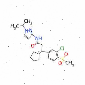 CC(C)n1ccc(NC(=O)CC(c2ccc(S(C)(=O)=O)c(Cl)c2)C2CCCC2)n1